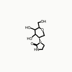 O=C1NCCN1[C@@H]1COC(CO)C(O)C1O